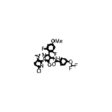 COc1cc(F)c(-c2c(NC(=O)c3ccc(OC(F)F)cc3)c(=O)n(-c3nc(Cl)ccc3N(C)C)n2C)c(F)c1